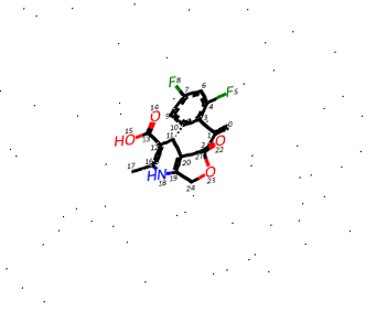 C=C(C)c1c(F)cc(F)cc1[C@H]1C(C(=O)O)=C(C)NC2=C1C(=O)OC2